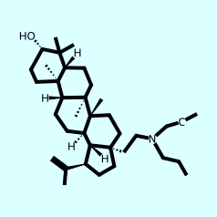 C=C(C)[C@@H]1CC[C@]2(CCN(CCC)CCC)CC[C@]3(C)[C@H](CC[C@@H]4[C@@]5(C)CC[C@H](O)C(C)(C)[C@@H]5CC[C@]43C)[C@@H]12